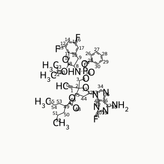 C#CC1(CO[P@@](=O)(NC(Cc2cc(F)cc(F)c2)C(=O)OC(C)C)Oc2ccccc2)OC(n2cnc3c(N)nc(F)nc32)CC1OC(=O)C(CCC)CCC